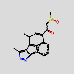 CC1=C2C(=c3cccc4c3=C2C(C)C=C4C(=O)C[S+](C)[O-])N=N1